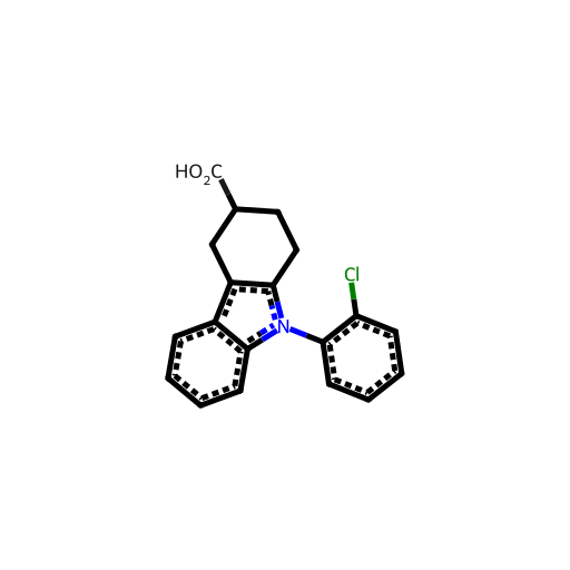 O=C(O)C1CCc2c(c3ccccc3n2-c2ccccc2Cl)C1